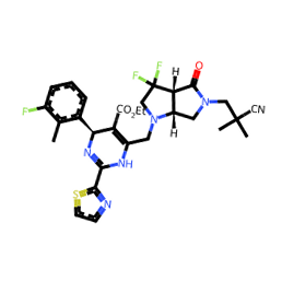 CCOC(=O)C1=C(CN2CC(F)(F)[C@@H]3C(=O)N(CC(C)(C)C#N)C[C@@H]32)NC(c2nccs2)=N[C@H]1c1cccc(F)c1C